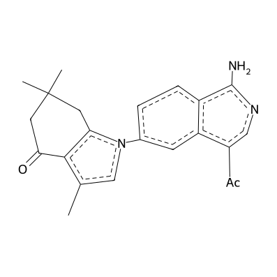 CC(=O)c1cnc(N)c2ccc(-n3cc(C)c4c3CC(C)(C)CC4=O)cc12